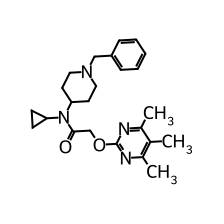 Cc1nc(OCC(=O)N(C2CC2)C2CCN(Cc3ccccc3)CC2)nc(C)c1C